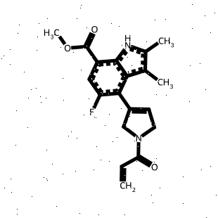 C=CC(=O)N1CC=C(c2c(F)cc(C(=O)OC)c3[nH]c(C)c(C)c23)C1